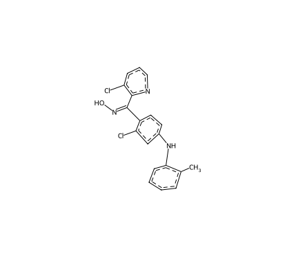 Cc1ccccc1Nc1ccc(C(=NO)c2ncccc2Cl)c(Cl)c1